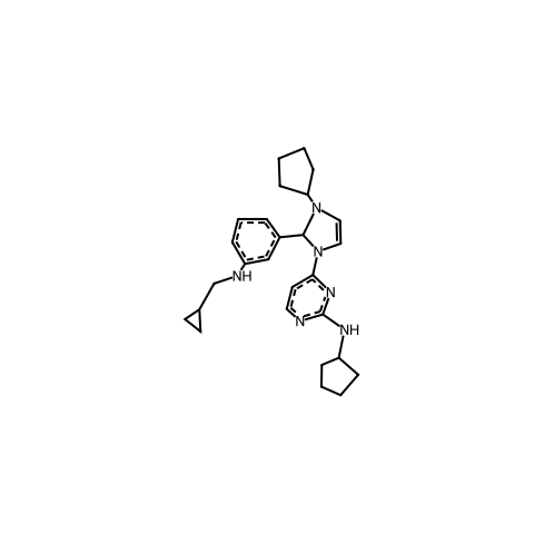 C1=CN(C2CCCC2)C(c2cccc(NCC3CC3)c2)N1c1ccnc(NC2CCCC2)n1